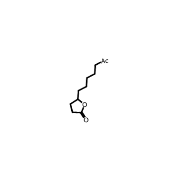 CC(=O)CCCCCC1CCC(=O)O1